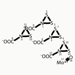 O=C([O-])n1ss1.O=C([O-])n1ss1.O=C([O-])n1ss1.O=C([O-])n1ss1.[O]=[Mo+4]